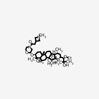 CCO[C@@H](C1C[C@@H](C)[C@H]2C(O1)[C@H](O)[C@@]1(C)C3CC[C@H]4C(C)(C)[C@@H](O[C@H]5CN(C(=O)CC6CN(C)C6)CCO5)CCC45C[C@@]35CC[C@]21C)C(C)(C)O